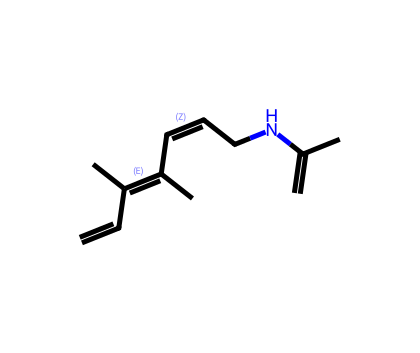 C=C/C(C)=C(C)/C=C\CNC(=C)C